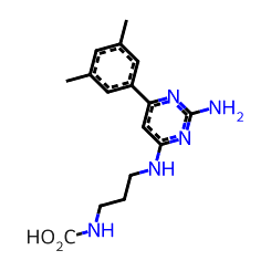 Cc1cc(C)cc(-c2cc(NCCCNC(=O)O)nc(N)n2)c1